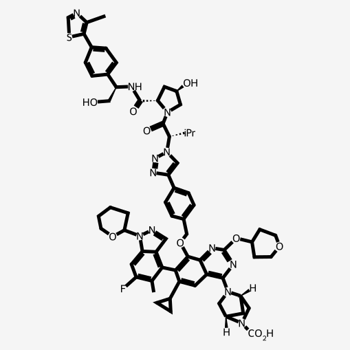 Cc1ncsc1-c1ccc([C@H](CO)NC(=O)[C@@H]2C[C@@H](O)CN2C(=O)[C@H](C(C)C)n2cc(-c3ccc(COc4c(-c5c(C)c(F)cc6c5cnn6C5CCCCO5)c(C5CC5)cc5c(N6C[C@@H]7C[C@H]6CN7C(=O)O)nc(OC6CCOCC6)nc45)cc3)nn2)cc1